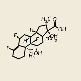 C[C@H]1C[C@H]2[C@@H]3C[C@H](F)C4=C(F)CCC[C@]4(C)[C@@]3(F)[C@@H](O)C[C@]2(C)[C@@]1(O)C(=O)O